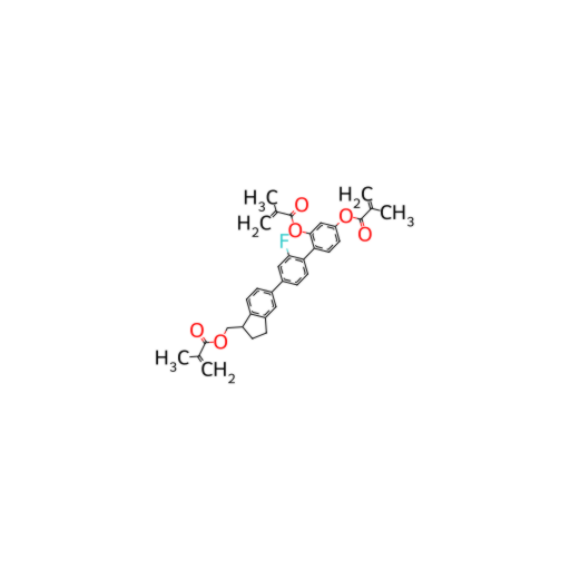 C=C(C)C(=O)OCC1CCc2cc(-c3ccc(-c4ccc(OC(=O)C(=C)C)cc4OC(=O)C(=C)C)c(F)c3)ccc21